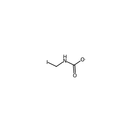 [O]C(=O)NCI